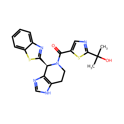 CC(C)(O)c1ncc(C(=O)N2CCc3[nH]cnc3[C@H]2c2nc3ccccc3s2)s1